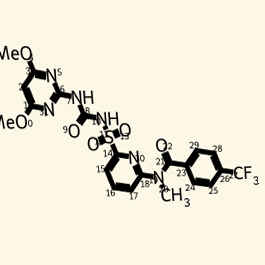 COc1cc(OC)nc(NC(=O)NS(=O)(=O)c2cccc(N(C)C(=O)c3ccc(C(F)(F)F)cc3)n2)n1